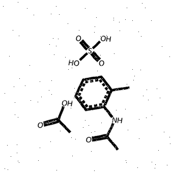 CC(=O)Nc1ccccc1C.CC(=O)O.O=S(=O)(O)O